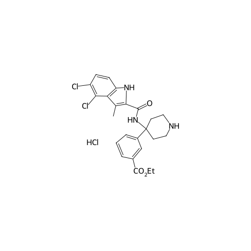 CCOC(=O)c1cccc(C2(NC(=O)c3[nH]c4ccc(Cl)c(Cl)c4c3C)CCNCC2)c1.Cl